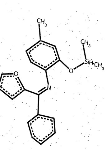 Cc1ccc(N=C(c2ccccc2)c2ccco2)c(O[SiH](C)C)c1